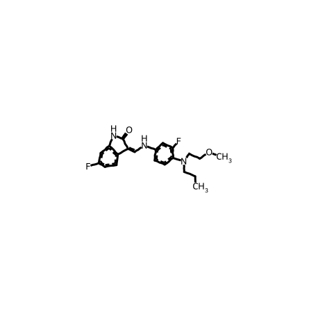 CCCN(CCOC)c1ccc(NC=C2C(=O)Nc3cc(F)ccc32)cc1F